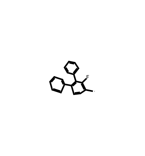 [CH2]c1ccc(-c2ccccc2)c(-c2ccccc2)c1F